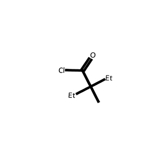 CCC(C)(CC)C(=O)Cl